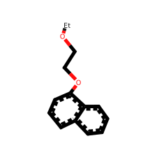 CCOCCOc1cc[c]c2ccccc12